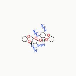 [N-]=[N+]=NC1[C@@H](O[C@@H]2C(N=[N+]=[N-])C[C@@H](N=[N+]=[N-])C3OC4(CCCCC4)O[C@H]32)OC2COC3(CCCCC3)O[C@H]2[C@@H]1N=[N+]=[N-]